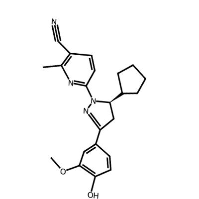 COc1cc(C2=NN(c3ccc(C#N)c(C)n3)[C@@H](C3CCCC3)C2)ccc1O